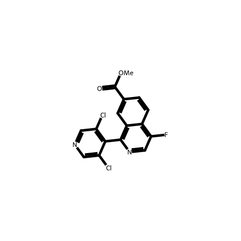 COC(=O)c1ccc2c(F)cnc(-c3c(Cl)cncc3Cl)c2c1